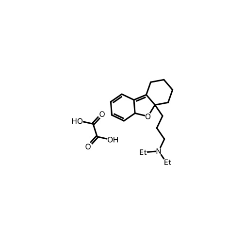 CCN(CC)CCCC12CCCCC1=C1C=CC=CC1O2.O=C(O)C(=O)O